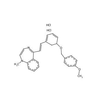 COc1ccc(COC2C=CC=C(C=CC3=NC=CN(C)c4ccccc43)C2)cc1.Cl.Cl